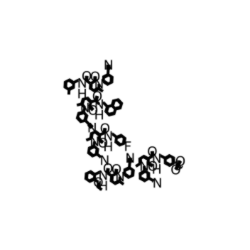 CCOc1ccccc1CNC(=O)c1ccc(C)n(-c2cccc(C#N)c2)c1=O.Cc1ccc(C(=O)NCc2ccc(F)cc2)c(=O)n1-c1cccc(C#N)c1.Cc1ccc(C(=O)NCc2ccc(S(C)(=O)=O)cc2)c(=O)n1-c1cccc(C#N)c1.Cc1ccc(C(=O)NCc2cccc3ccccc23)c(=O)n1-c1cccc(C#N)c1.Cc1cccc(CNC(=O)c2ccc(C)n(-c3cccc(C#N)c3)c2=O)c1